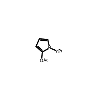 CCCn1cccc1OC(C)=O